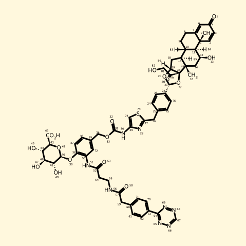 C[C@]12C=CC(=O)C=C1CC[C@@H]1[C@@H]2[C@@H](O)C[C@@]2(C)[C@H]1C[C@H]1O[C@@H](c3ccc(Cc4nc(NC(=O)OCc5ccc(O[C@@H]6O[C@H](C(=O)O)[C@@H](O)[C@H](O)[C@H]6O)c(NC(=O)CCNC(=O)Cc6ccc(-c7nncnn7)cc6)c5)cs4)cc3)O[C@]12C(=O)CO